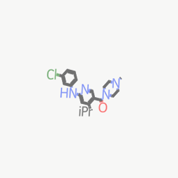 CC(C)c1cc(Nc2cccc(Cl)c2)ncc1C(=O)N1CCN(C)CC1